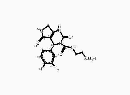 O=C(O)CCNC(=O)N1C(=O)NC2=C(C(=O)OC2)[C@@H]1c1ccc(F)c(F)c1